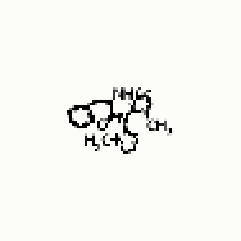 CC(=O)NC(Cc1ccccc1)C(=O)N(C1SCCN1C)C1SCCN1C